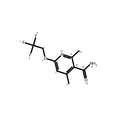 Cc1cc(OCC(F)(F)F)nc(C)c1C(N)=O